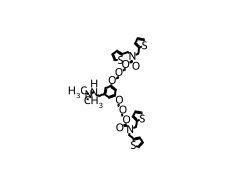 CN(C)NCc1cc(OCOCOC(=O)N(Cc2cccs2)Cc2cccs2)cc(OCOCOC(=O)N(Cc2cccs2)Cc2cccs2)c1